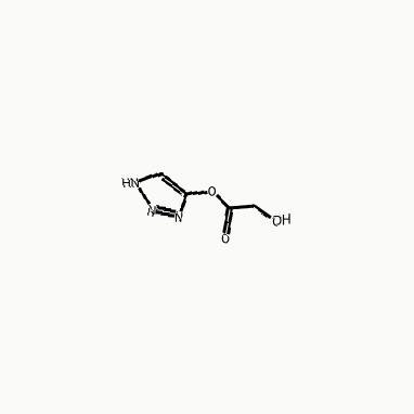 O=C(CO)Oc1c[nH]nn1